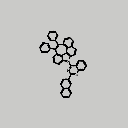 c1ccc(C2=C(c3ccccc3)c3cccc4c3c3c5c2cccc5ccc3n4-c2nc(-c3ccc4ccccc4c3)nc3ccccc23)cc1